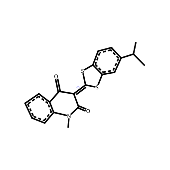 CC(C)c1ccc2c(c1)S/C(=C1/C(=O)c3ccccc3N(C)C1=O)S2